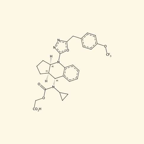 O=C(O)COC(=O)N(C1CC1)[C@H]1c2ccccc2N(c2nnc(Cc3ccc(OC(F)(F)F)cc3)o2)[C@@H]2CCC[C@@H]21